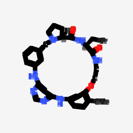 COc1ccc2cc1OCCNC(=O)[C@H](CC(C)C)NC(=O)[C@@H]1CCCN1Cc1cccc(c1)Nc1cc(ncn1)N2